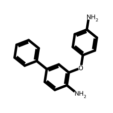 Nc1ccc(Oc2cc(-c3ccccc3)ccc2N)cc1